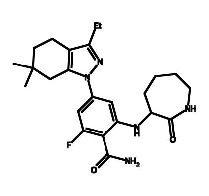 CCc1nn(-c2cc(F)c(C(N)=O)c(NC3CCCCNC3=O)c2)c2c1CCC(C)(C)C2